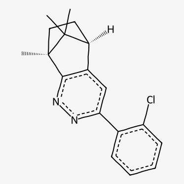 CC1(C)[C@H]2CC[C@]1(C)c1nnc(-c3ccccc3Cl)cc12